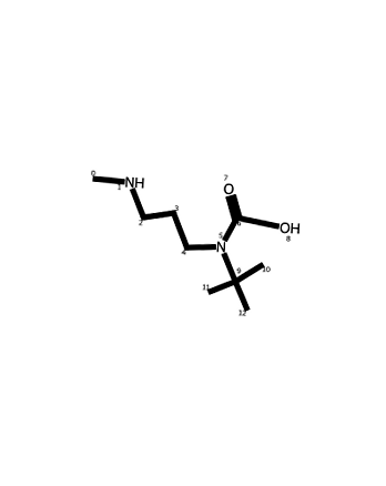 CNCCCN(C(=O)O)C(C)(C)C